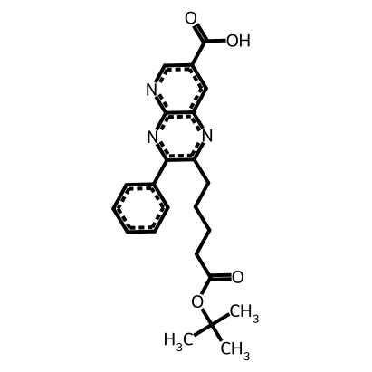 CC(C)(C)OC(=O)CCCCc1nc2cc(C(=O)O)cnc2nc1-c1ccccc1